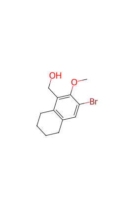 COc1c(Br)cc2c(c1CO)CCCC2